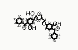 O=C(O)CC(COc1ccc(C(=O)c2ccccc2)c(O)c1)COc1ccc(C(=O)c2ccccc2)c(O)c1